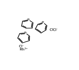 [Cl-].[Cl-].[Cl-].[Rh+3].c1ccpcc1.c1ccpcc1.c1ccpcc1